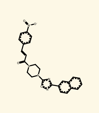 O=C(/C=C/c1ccc([N+](=O)[O-])cc1)N1CCN(c2nc(-c3ccc4ccccc4c3)no2)CC1